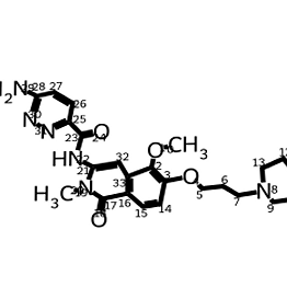 COc1c(OCCCN2CCOCC2)ccc2c(=O)n(C)c(NC(=O)c3ccc(N)nn3)cc12